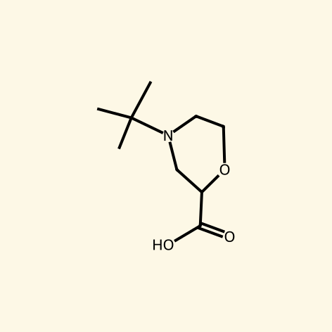 CC(C)(C)N1CCOC(C(=O)O)C1